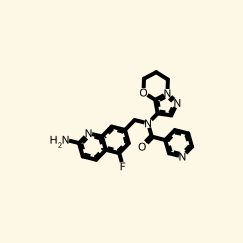 Nc1ccc2c(F)cc(CN(C(=O)c3cccnc3)c3cnn4c3OCCC4)cc2n1